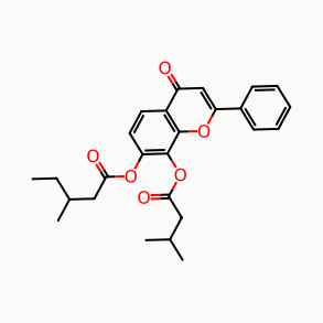 CCC(C)CC(=O)Oc1ccc2c(=O)cc(-c3ccccc3)oc2c1OC(=O)CC(C)C